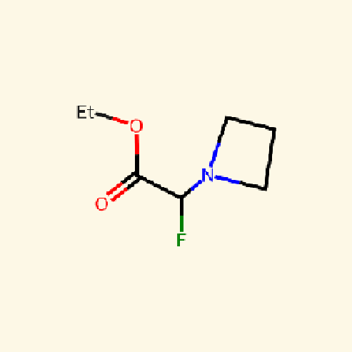 CCOC(=O)C(F)N1CCC1